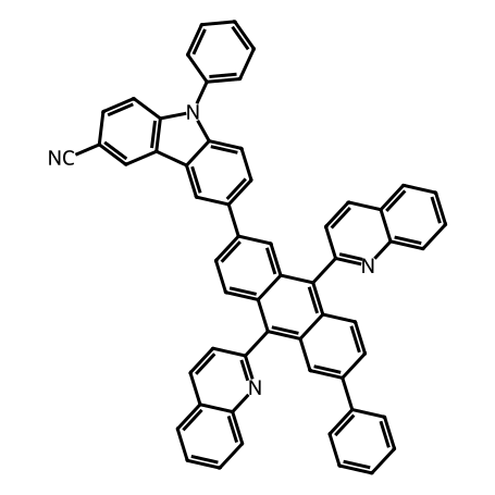 N#Cc1ccc2c(c1)c1cc(-c3ccc4c(-c5ccc6ccccc6n5)c5cc(-c6ccccc6)ccc5c(-c5ccc6ccccc6n5)c4c3)ccc1n2-c1ccccc1